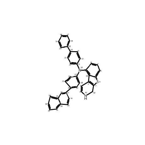 C1=Cc2c(sc3cccc(N(c4ccc(-c5ccccc5)cc4)c4ccc(-c5ccc6ccccc6c5)cc4)c23)CN1